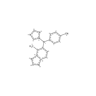 Cc1c(N(c2ccc(C#N)cc2)n2cncn2)ccc2nonc12